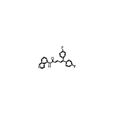 O=C(C=CC=C(c1ccc(F)cc1)c1ccc(F)cc1)Nc1cccc2cnccc12